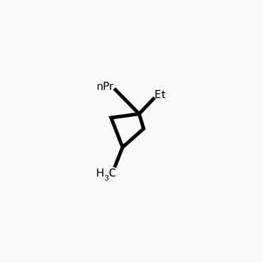 CCCC1(CC)CC(C)C1